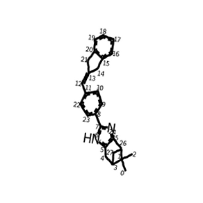 CC1(C)C2Cc3[nH]c(-c4ccc(C=C5Cc6ccccc6C5)cc4)nc3C1C2